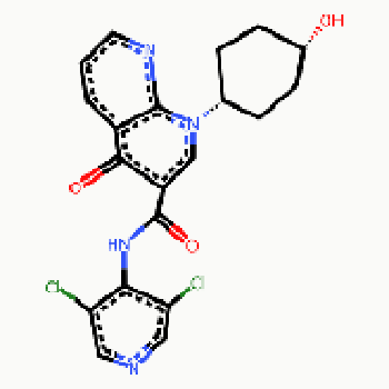 O=C(Nc1c(Cl)cncc1Cl)c1cn([C@H]2CC[C@@H](O)CC2)c2ncccc2c1=O